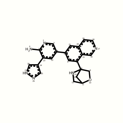 Nc1ncc(-c2cc(C34COC(CN3)C4)c3cnccc3c2)cc1-c1cn[nH]c1